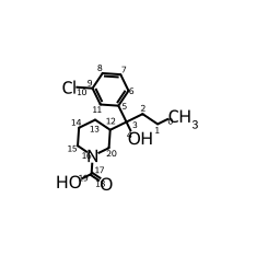 CCCC(O)(c1cccc(Cl)c1)C1CCCN(C(=O)O)C1